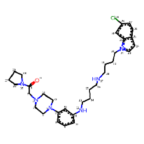 O=C(CN1CCN(c2cccc(NCCCCNCCCCn3ccc4ccc(Cl)cc43)c2)CC1)N1CCCC1